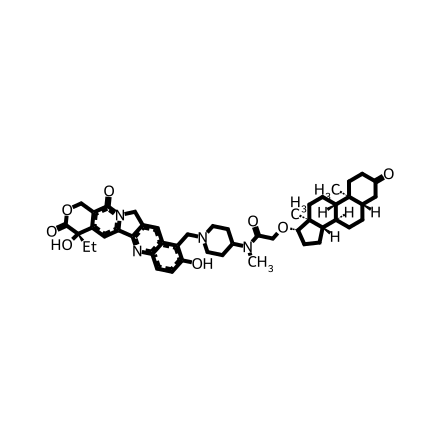 CC[C@@]1(O)C(=O)OCc2c1cc1n(c2=O)Cc2cc3c(CN4CCC(N(C)C(=O)CO[C@H]5CC[C@H]6[C@@H]7CC[C@H]8CC(=O)CC[C@]8(C)[C@H]7CC[C@]56C)CC4)c(O)ccc3nc2-1